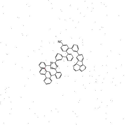 N#Cc1ccc(-c2ccccc2-c2cccc(-c3nc(-c4ccccc4)nc(-c4ccccc4-c4cc5ccccc5c5ccccc45)n3)c2)c(-c2cccc(-c3ccc4c(c3)-c3cccc5cccc-4c35)c2)c1